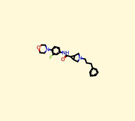 O=C(Nc1ccc(N2CCOCC2)c(F)c1)C1C2CN(CCCc3ccccc3)CC21